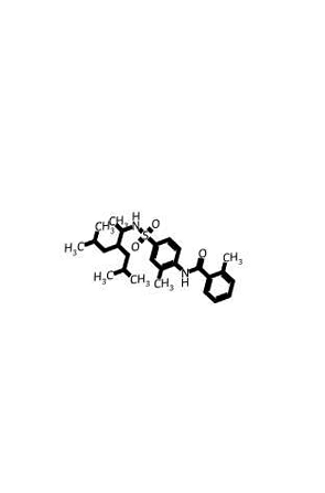 Cc1cc(S(=O)(=O)NC(C)C(CC(C)C)CC(C)C)ccc1NC(=O)c1ccccc1C